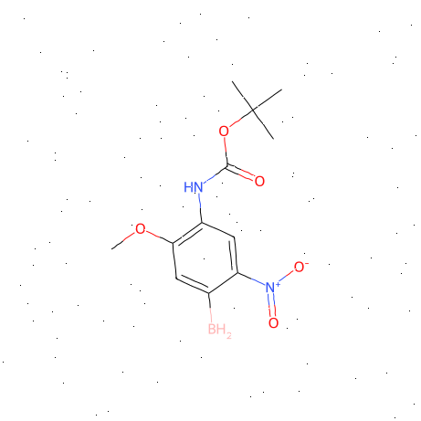 Bc1cc(OC)c(NC(=O)OC(C)(C)C)cc1[N+](=O)[O-]